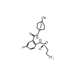 N#CC12CCC(NC(=O)c3cc(F)ccc3NS(=O)(=O)CCC(F)(F)F)(CC1)CC2